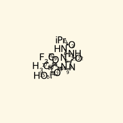 CC(C)C(=O)Nc1nc2c(ncn2[C@@H]2O[C@H](CO)[C@@H](C)[C@H]2OC(F)(F)F)c(=O)[nH]1